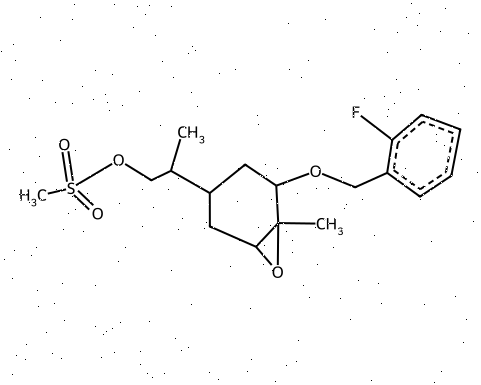 CC(COS(C)(=O)=O)C1CC(OCc2ccccc2F)C2(C)OC2C1